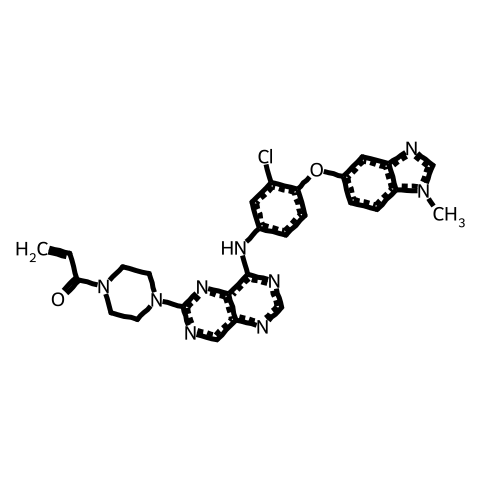 C=CC(=O)N1CCN(c2ncc3ncnc(Nc4ccc(Oc5ccc6c(c5)ncn6C)c(Cl)c4)c3n2)CC1